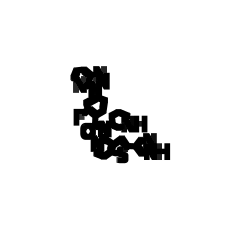 O=C(c1ccc(-n2nnc3cccnc32)cc1F)N(c1nccc2sc(-c3cn[nH]c3)cc12)[C@@H]1CCCNC1